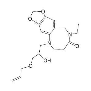 C=CCOCC(O)CN1CCC(=O)N(CC)Cc2cc3c(cc21)OCO3